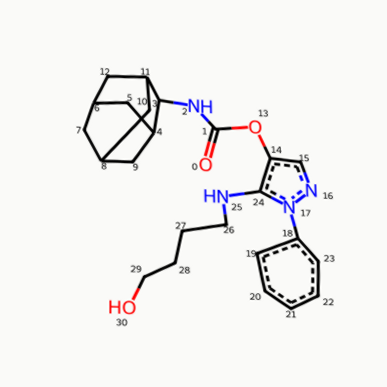 O=C(NC1C2CC3CC(C2)CC1C3)Oc1cnn(-c2ccccc2)c1NCCCCO